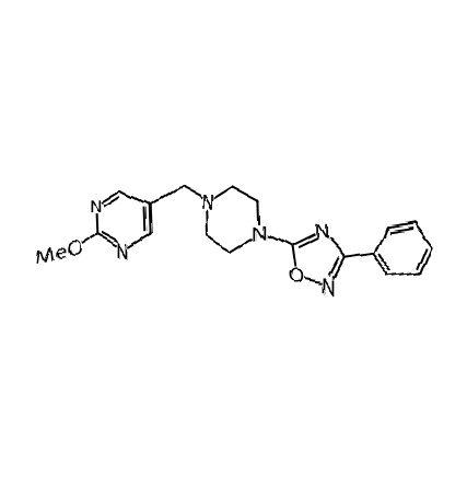 COc1ncc(CN2CCN(c3nc(-c4ccccc4)no3)CC2)cn1